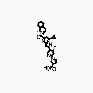 CNC(=O)C1CCN(c2cc(F)c(-c3cc4nc(C(=O)N5CCc6ccccc6[C@H]5C)cc(C5CC5)n4n3)cn2)C1